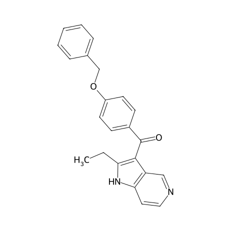 CCc1[nH]c2ccncc2c1C(=O)c1ccc(OCc2ccccc2)cc1